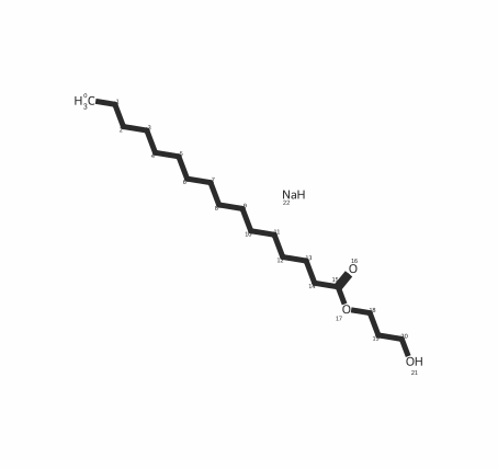 CCCCCCCCCCCCCCCC(=O)OCCCO.[NaH]